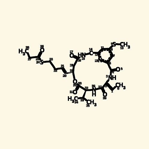 C/C=C1\NC(=O)c2cc(SC)cc(n2)CNC(=O)C[C@@H](/C=C/CCSC(=O)CC)OC(=O)[C@H](C(C)C)NC1=O